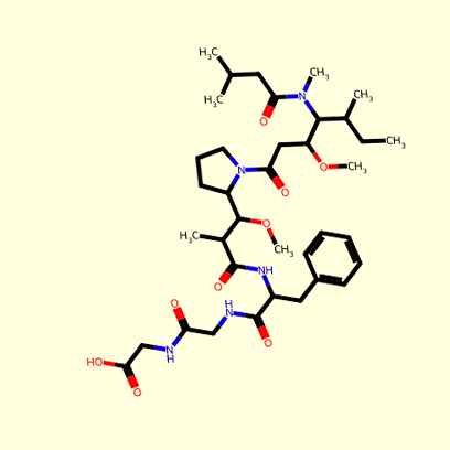 CCC(C)C(C(CC(=O)N1CCCC1C(OC)C(C)C(=O)NC(Cc1ccccc1)C(=O)NCC(=O)NCC(=O)O)OC)N(C)C(=O)CC(C)C